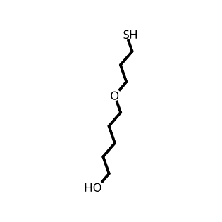 OCCCCCOCCCS